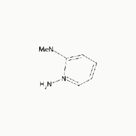 CNc1cccc[n+]1N